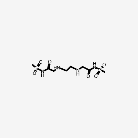 CS(=O)(=O)NC(=O)CNCCNCC(=O)NS(C)(=O)=O